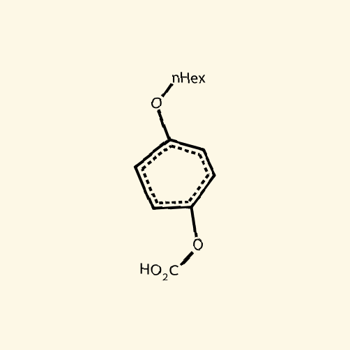 CCCCCCOc1ccc(OC(=O)O)cc1